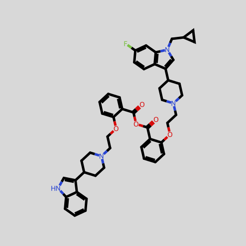 O=C(OC(=O)c1ccccc1OCCN1CCC(c2cn(CC3CC3)c3cc(F)ccc23)CC1)c1ccccc1OCCN1CCC(c2c[nH]c3ccccc23)CC1